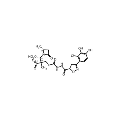 C[C@@H]1CC(=O)N1[C@@H](C(=O)O)[C@](C)(COC(=O)NNC(=O)C1CC(c2ccc(O)c(O)c2Cl)=NO1)[SH](=O)=O